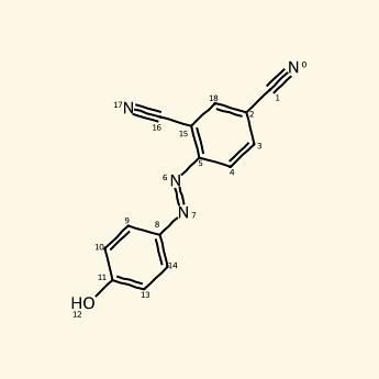 N#Cc1ccc(N=Nc2ccc(O)cc2)c(C#N)c1